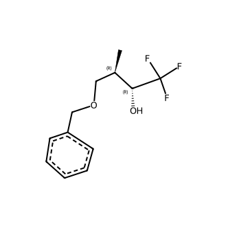 C[C@H](COCc1ccccc1)[C@@H](O)C(F)(F)F